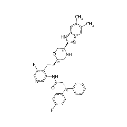 Cc1cc2nc([C@@H]3CO[C@H](CCc4c(F)cncc4NC(=O)C[C@H](c4ccccc4)c4ccc(F)cc4)CN3)[nH]c2cc1C